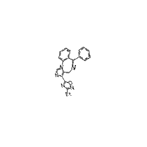 CCc1noc(-c2ncn3c2CN=C(c2ccccc2)c2ccccc2-3)n1